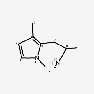 Cc1ccn(I)c1CC(C)N